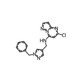 Clc1cc(NCc2cnn(Cc3ccccc3)c2)n2nccc2n1